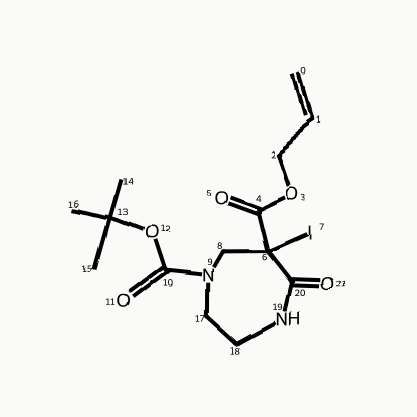 C=CCOC(=O)C1(I)CN(C(=O)OC(C)(C)C)CCNC1=O